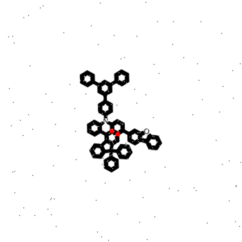 c1ccc(-c2cc(-c3ccccc3)cc(-c3ccc(N(c4ccc(-c5ccc6c(c5)oc5ccccc56)cc4)c4ccccc4-c4cccc5c4-c4ccccc4C5(c4ccccc4)c4ccccc4)cc3)c2)cc1